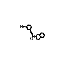 N#Cc1cccc(C#CC(=O)N2CCc3ccccc3C2)c1